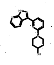 OC1CCN(c2cccc(-c3n[nH]c4ncccc34)n2)CC1